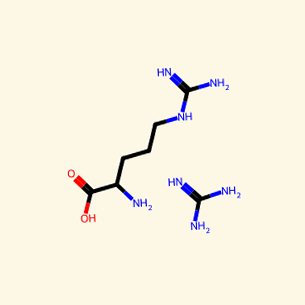 N=C(N)N.N=C(N)NCCCC(N)C(=O)O